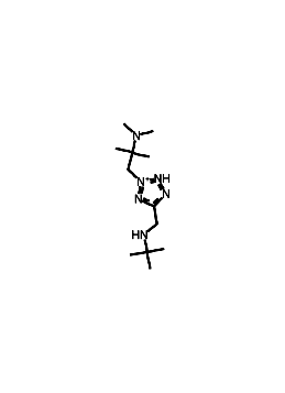 CN(C)C(C)(C)C[n+]1nc(CNC(C)(C)C)n[nH]1